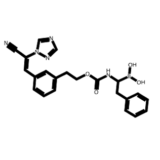 N#CC(=Cc1cccc(CCOC(=O)NC(Cc2ccccc2)B(O)O)c1)n1cncn1